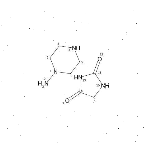 NN1CCNCC1.O=C1CNC(=O)N1